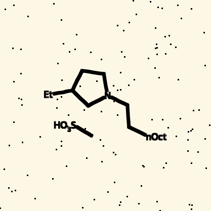 CCCCCCCCCCN1CCC(CC)C1.CS(=O)(=O)O